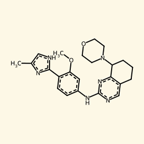 COc1cc(Nc2ncc3c(n2)C(N2CCOCC2)CCC3)ccc1-c1nc(C)c[nH]1